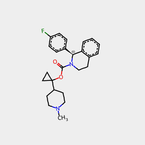 CN1CCC(C2(OC(=O)N3CCc4ccccc4[C@@H]3c3ccc(F)cc3)CC2)CC1